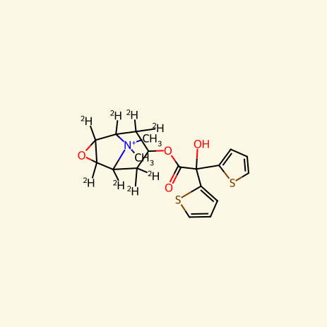 [2H]C1([2H])C(OC(=O)C(O)(c2cccs2)c2cccs2)C([2H])([2H])C2([2H])C3([2H])OC3([2H])C1([2H])[N+]2(C)C